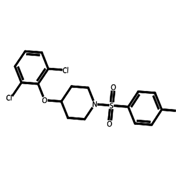 O=S(=O)(c1ccc(Cl)cc1)N1CCC(Oc2c(Cl)cccc2Cl)CC1